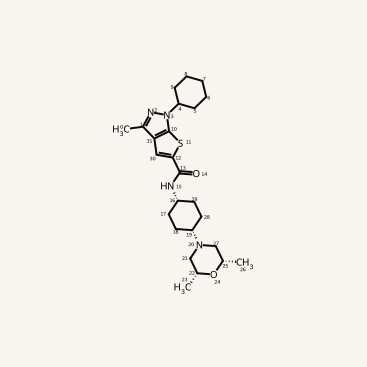 Cc1nn(C2CCCCC2)c2sc(C(=O)N[C@H]3CC[C@@H](N4C[C@@H](C)O[C@@H](C)C4)CC3)cc12